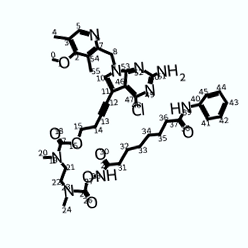 COc1c(C)cnc(Cn2cc(C#CCCOC(=O)N(C)CCN(C)C(=O)ONC(=O)CCCCCCC(=O)Nc3ccccc3)c3c(Cl)nc(N)nc32)c1C